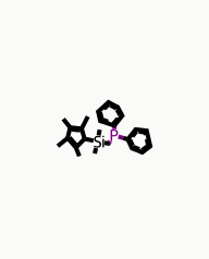 CC1=C(C)C([Si](C)(C)CP(c2ccccc2)c2ccccc2)C(C)=C1C